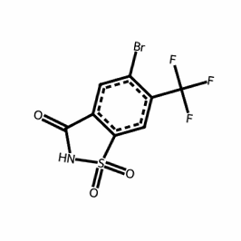 O=C1NS(=O)(=O)c2cc(C(F)(F)F)c(Br)cc21